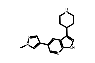 Cn1cc(-c2cnc3[nH]cc(C4CCNCC4)c3c2)cn1